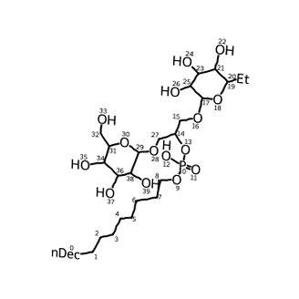 CCCCCCCCCCCCCCCCCCOP(=O)(O)OC(COC1OC(CC)C(O)C(O)C1O)COC1OC(CO)C(O)C(O)C1O